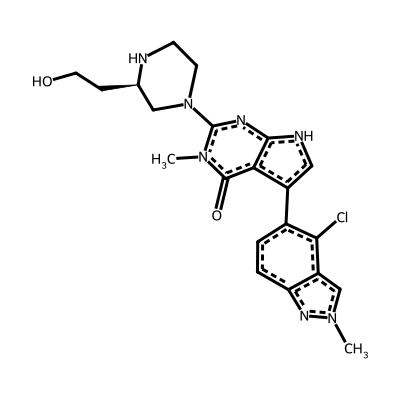 Cn1cc2c(Cl)c(-c3c[nH]c4nc(N5CCN[C@H](CCO)C5)n(C)c(=O)c34)ccc2n1